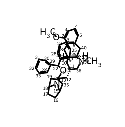 COc1cccc2c1C[C@H]1C[C@@H](CCN3C4CCC3CC(OC(c3ccccc3)c3ccccc3)C4)CN(C)[C@@H]1C2